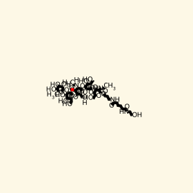 CC(=O)NC1[C@H](OCCCNC(=O)CCCCC(=O)NCCO)OC(CO)[C@@H](O[C@@H]2OC(CO)[C@H](O)[C@H](O[C@@H]3OC(CO)[C@@H](O)[C@H](O[C@@H]4OC(CO)[C@H](O)[C@H](O)C4O[C@@H]4OC(C)[C@@H](O)[C@H](O)C4O)C3NC(C)=O)C2O)[C@@H]1O